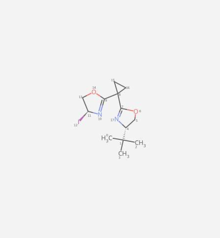 CC(C)(C)[C@H]1COC(C2(C3=N[C@@H](I)CO3)CC2)=N1